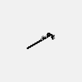 CCCCCCCCCCCCCCOCC(COCc1cccc(C[n+]2csc(C)c2)c1)OC